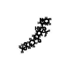 CC(C)Oc1cc2c(cc1NC(=O)c1cnn3cccnc13)CN(C1CCN(CC(=O)OC(C)(C)C)CC1)C2=O